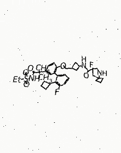 CCS(=O)(=O)NC(=O)C(C)(C)c1ccc(OCC2CC(NC(=O)C3(F)CNC4(CCC4)C3)C2)c(-c2cccc(F)c2C2CCC2)c1